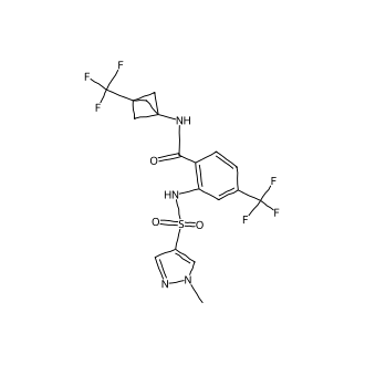 Cn1cc(S(=O)(=O)Nc2cc(C(F)(F)F)ccc2C(=O)NC23CC(C(F)(F)F)(C2)C3)cn1